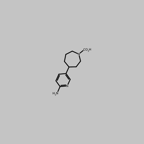 Nc1ccc(C2CCCN(C(=O)O)CC2)cn1